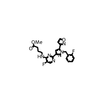 COC(=O)CCCNc1nc(-c2cc(-c3ccon3)n(Cc3ccccc3F)n2)ncc1F